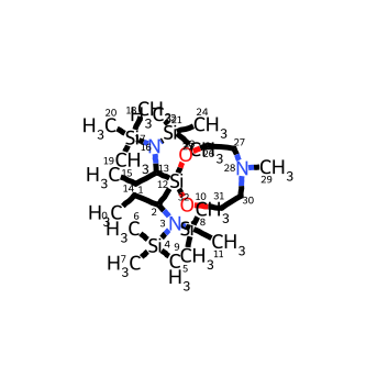 CCC(N([Si](C)(C)C)[Si](C)(C)C)[Si]1(C(CC)N([Si](C)(C)C)[Si](C)(C)C)OCCN(C)CCO1